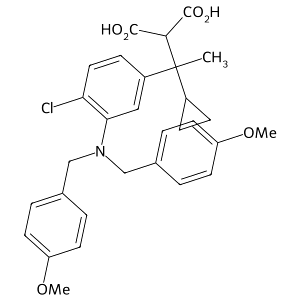 COc1ccc(CN(Cc2ccc(OC)cc2)c2cc(C(C)(C3CC3)C(C(=O)O)C(=O)O)ccc2Cl)cc1